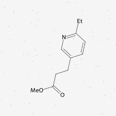 CCc1ccc(CCC(=O)OC)cn1